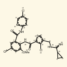 COc1cc(Cl)cc(C(=O)Nc2ccc(Cl)cn2)c1NC(=O)c1scc(CNC(=N)C2CC2)c1Cl